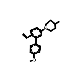 C=Cc1ccc(N2CCC(C)CC2)cc1-c1ccc(OC)cc1